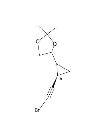 CC1(C)OCC(C2C[C@H]2C#CBr)O1